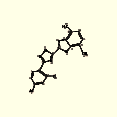 CC(=O)c1ccc(-c2noc(-c3cc4c(C)ccc(C)c4s3)n2)c(Cl)c1